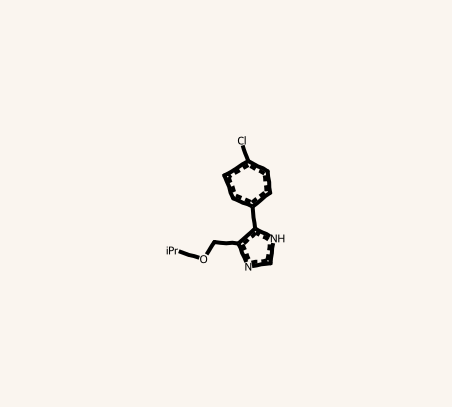 CC(C)OCc1nc[nH]c1-c1ccc(Cl)cc1